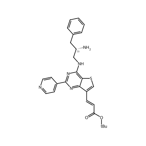 CC(C)(C)OC(=O)C=Cc1csc2c(NC[C@@H](N)Cc3ccccc3)nc(-c3ccncc3)nc12